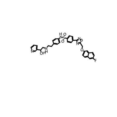 O=S(=O)(Nc1ccc(CCNCC(O)c2cccnc2)cc1)c1ccc(-c2noc(COc3ccc4cc(F)ccc4c3)n2)cc1